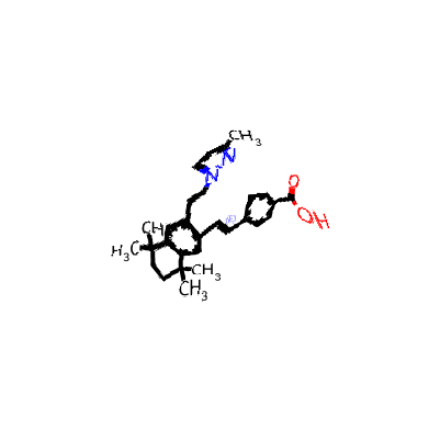 Cc1ccn(CCc2cc3c(cc2/C=C/c2ccc(C(=O)O)cc2)C(C)(C)CCC3(C)C)n1